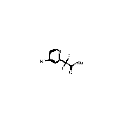 CCCCC(=O)C(F)(F)c1cc(C#N)ccn1